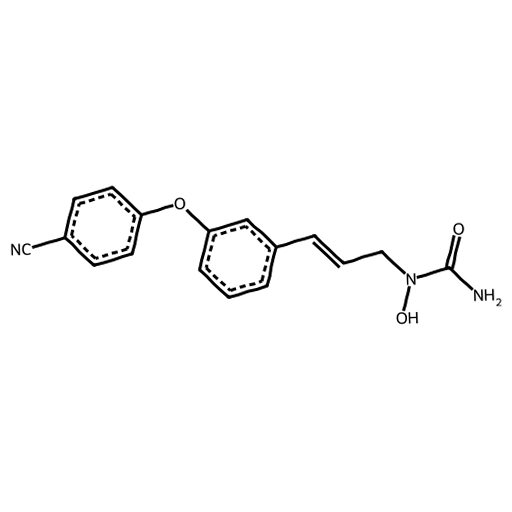 N#Cc1ccc(Oc2cccc(C=CCN(O)C(N)=O)c2)cc1